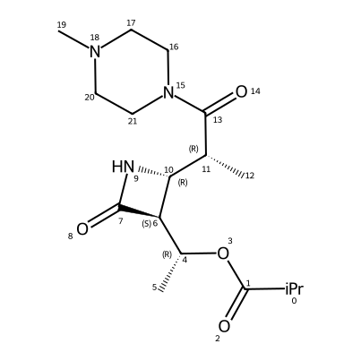 CC(C)C(=O)O[C@H](C)[C@H]1C(=O)N[C@@H]1[C@@H](C)C(=O)N1CCN(C)CC1